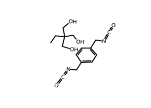 CCC(CO)(CO)CO.O=C=NCc1ccc(CN=C=O)cc1